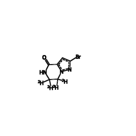 [2H]C1([2H])NC(=O)c2cc(Br)nn2C1([2H])[2H]